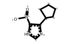 O=[N+]([O-])c1[nH]cnc1C1CCCC1